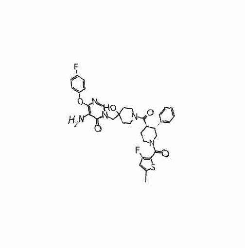 Nc1c(Oc2ccc(F)cc2)ncn(CC2(O)CCN(C(=O)[C@@H]3CCN(C(=O)c4sc(I)cc4F)C[C@H]3c3ccccc3)CC2)c1=O